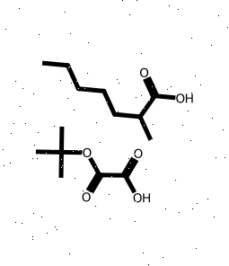 CC(C)(C)OC(=O)C(=O)O.CCCCCC(C)C(=O)O